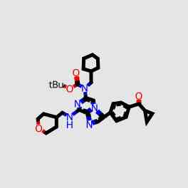 CC(C)(C)OC(=O)N(CC1CCCCC1)c1cn2c(-c3ccc(C(=O)C4CC4)cc3)cnc2c(NCC2CCOCC2)n1